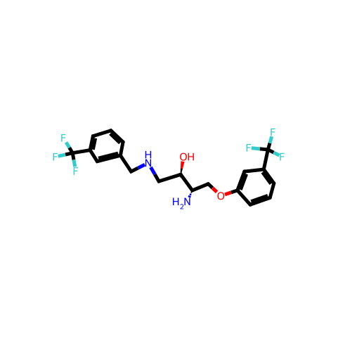 N[C@@H](COc1cccc(C(F)(F)F)c1)[C@H](O)CNCc1cccc(C(F)(F)F)c1